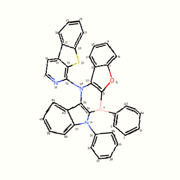 c1ccc(B2c3oc4ccccc4c3N(c3nccc4c3sc3ccccc34)c3c2n(-c2ccccc2)c2ccccc32)cc1